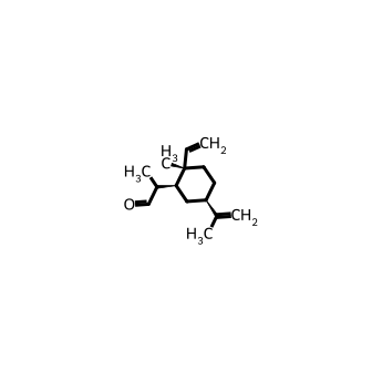 C=C[C@]1(C)CC[C@@H](C(=C)C)C[C@H]1C(C)C=O